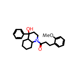 COc1ccccc1CCC(=O)N1CCC(O)(c2ccccc2)C2CCCCC21